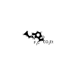 CCOC(=O)c1oc2c(c1C(F)(F)F)-c1nn(CC3CC3)cc1CC2